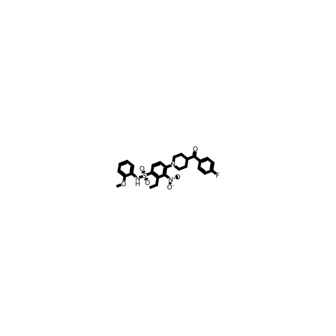 CCc1c(S(=O)(=O)Nc2ccccc2OC)ccc(N2CCC(C(=O)c3ccc(F)cc3)CC2)c1[N+](=O)[O-]